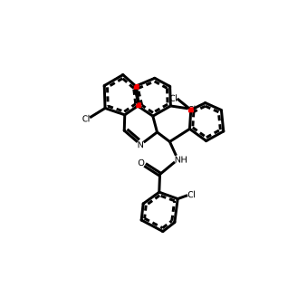 O=C(NC(c1ccccc1Cl)C(/N=C\c1ccccc1Cl)c1ccccc1Cl)c1ccccc1Cl